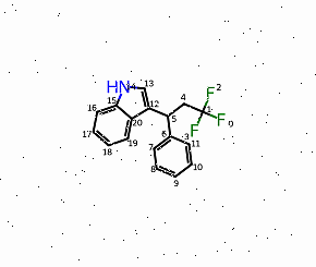 FC(F)(F)CC(c1ccccc1)c1c[nH]c2ccccc12